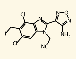 N#CCn1c(-c2nonc2N)nc2c(Cl)c(CI)c(Cl)cc21